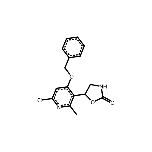 Cc1nc(Cl)cc(OCc2ccccc2)c1C1CNC(=O)O1